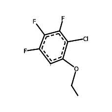 CCOc1[c]c(F)c(F)c(F)c1Cl